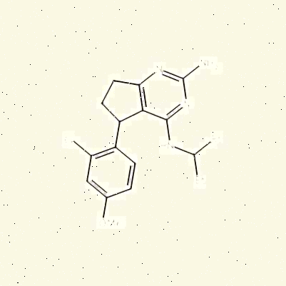 CCC(CC)Nc1nc(N)nc2c1C(c1ccc(OC)cc1Cl)CC2